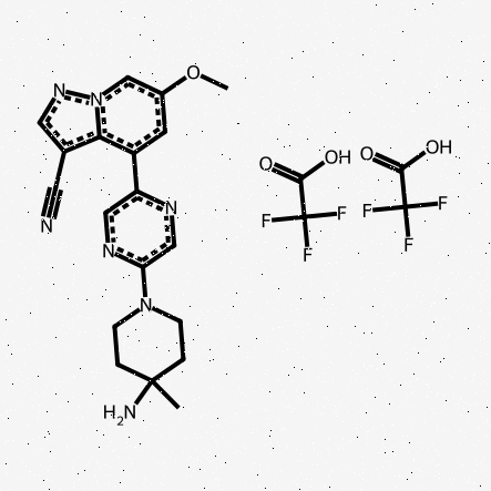 COc1cc(-c2cnc(N3CCC(C)(N)CC3)cn2)c2c(C#N)cnn2c1.O=C(O)C(F)(F)F.O=C(O)C(F)(F)F